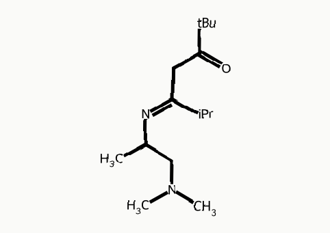 CC(CN(C)C)/N=C(/CC(=O)C(C)(C)C)C(C)C